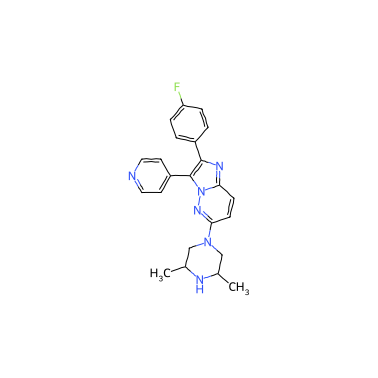 CC1CN(c2ccc3nc(-c4ccc(F)cc4)c(-c4ccncc4)n3n2)CC(C)N1